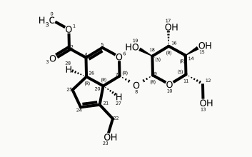 COC(=O)C1=CO[C@H](O[C@H]2O[C@@H](CO)[C@H](O)[C@@H](O)[C@@H]2O)[C@H]2C(CO)=CC[C@@H]12